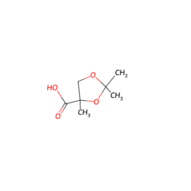 CC1(C)OCC(C)(C(=O)O)O1